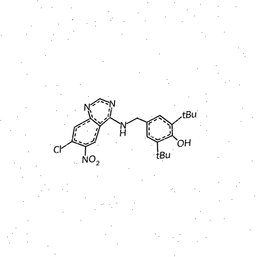 CC(C)(C)c1cc(CNc2ncnc3cc(Cl)c([N+](=O)[O-])cc23)cc(C(C)(C)C)c1O